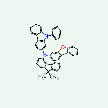 CC1(C)c2ccccc2-c2c(N(c3ccc4c(c3)oc3ccccc34)c3ccc4c5c(n(-c6ccccc6)c4c3)=CCCC=5)cccc21